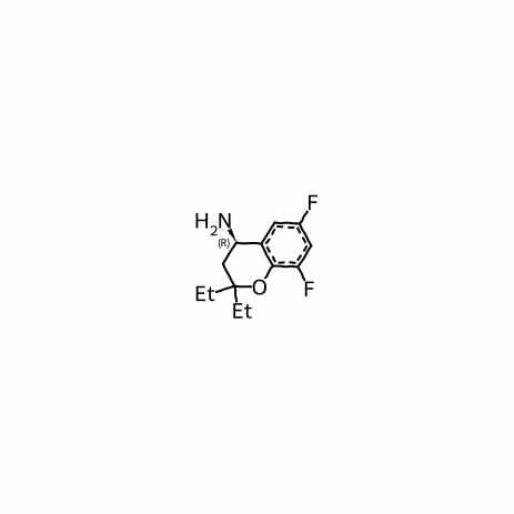 CCC1(CC)C[C@@H](N)c2cc(F)cc(F)c2O1